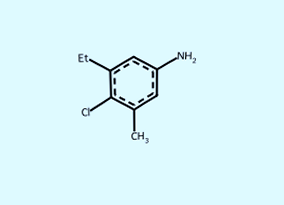 CCc1cc(N)cc(C)c1Cl